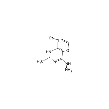 CCN1C=COC2=C1NC(C)N=C2NN